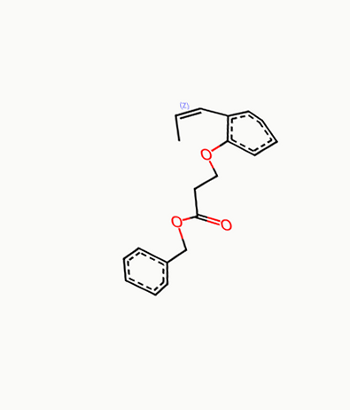 C/C=C\c1ccccc1OCCC(=O)OCc1ccccc1